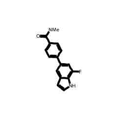 CNC(=O)c1ccc(-c2cc(F)c3[nH]ccc3c2)cc1